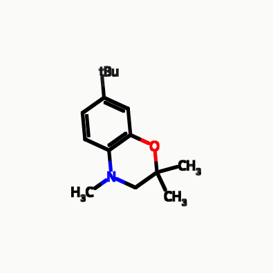 CN1CC(C)(C)Oc2cc(C(C)(C)C)ccc21